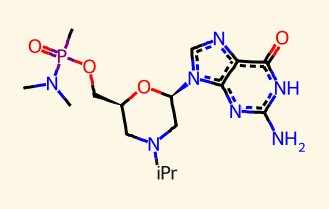 CC(C)N1C[C@@H](COP(C)(=O)N(C)C)O[C@@H](n2cnc3c(=O)[nH]c(N)nc32)C1